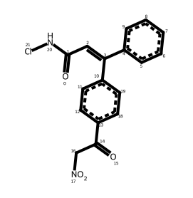 O=C(C=C(c1ccccc1)c1ccc(C(=O)C[N+](=O)[O-])cc1)NCl